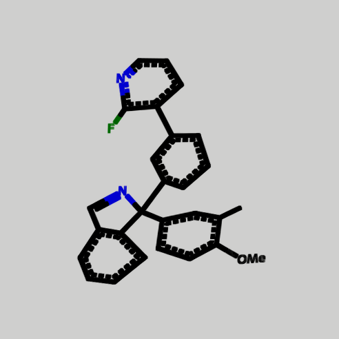 COc1ccc(C2(c3cccc(-c4cccnc4F)c3)N=Cc3ccccc32)cc1C